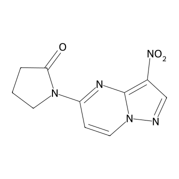 O=C1CCCN1c1ccn2ncc([N+](=O)[O-])c2n1